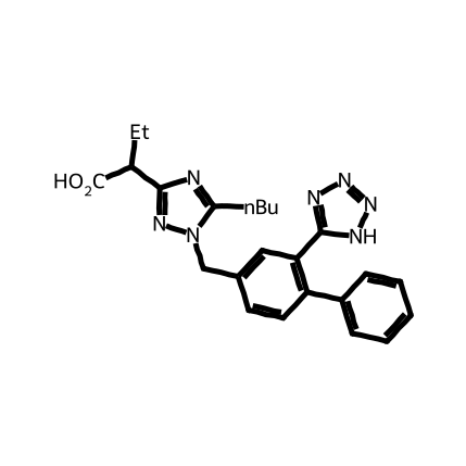 CCCCc1nc(C(CC)C(=O)O)nn1Cc1ccc(-c2ccccc2)c(-c2nnn[nH]2)c1